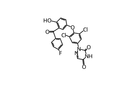 O=C(c1ccc(F)cc1)c1cc(Oc2c(Cl)cc(-n3ncc(=O)[nH]c3=O)cc2Cl)ccc1O